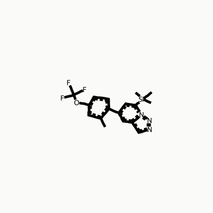 Cc1cc(OC(F)(F)F)ccc1-c1cc([Si](C)(C)C)n2nncc2c1